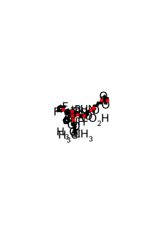 CC(C)(C)[C@H](c1cc(-c2cc(F)ccc2F)cn1Cc1ccccc1)N(CCCNC(=O)OCC[Si](C)(C)C)C(=O)CSC[C@H](NC(=O)CCNC(=O)CCCCCN1C(=O)C=CC1=O)C(=O)O